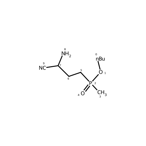 CCCCOP(C)(=O)CCC(N)C#N